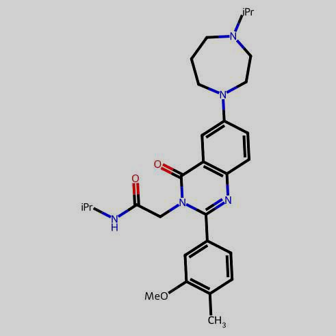 COc1cc(-c2nc3ccc(N4CCCN(C(C)C)CC4)cc3c(=O)n2CC(=O)NC(C)C)ccc1C